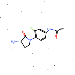 CC(C)C(=O)Nc1ccc(N2CC[C@H](N)C2=O)c(F)c1